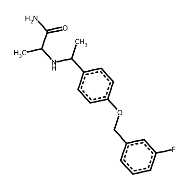 CC(NC(C)c1ccc(OCc2cccc(F)c2)cc1)C(N)=O